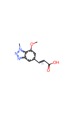 COc1cc(/C=C/C(=O)O)cc2nnn(C)c12